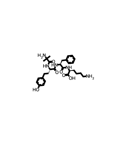 CC(C)(N)C(=O)N[C@@H](CCc1ccc(O)cc1)C(=O)N[C@@H](Cc1ccccc1)C(=O)N[C@@H](CCCCN)C(=O)O